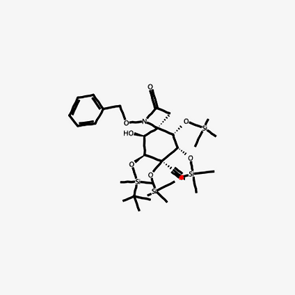 CC(C)(C)[Si](C)(C)O[C@H]1[C@@H](O)[C@]2(CC(=O)N2OCc2ccccc2)[C@H](O[Si](C)(C)C)[C@H](O[Si](C)(C)C)[C@@]1(C#N)O[Si](C)(C)C